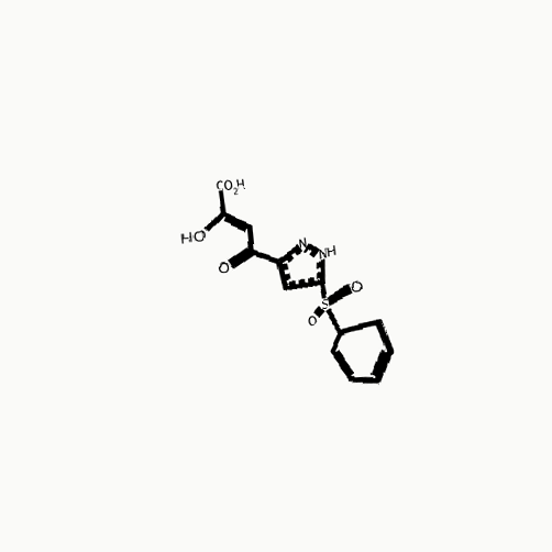 O=C(O)C(O)=CC(=O)c1cc(S(=O)(=O)C2C=CC=CC2)[nH]n1